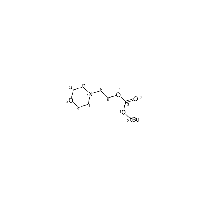 CC(C)(C)OC(=O)OCCN1CCOCC1